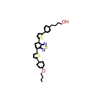 CCCCOc1ccc(-c2ccc(-c3ccc(-c4ccc(-c5ccc(CCCCO)cc5)s4)c4nsnc34)s2)cc1